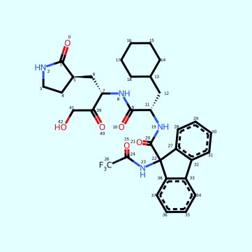 O=C1NCC[C@@H]1C[C@H](NC(=O)[C@H](CC1CCCCC1)NC(=O)C1(NC(=O)C(F)(F)F)c2ccccc2-c2ccccc21)C(=O)CO